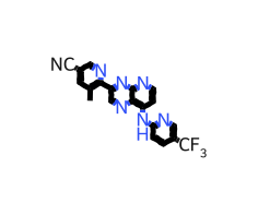 Cc1cc(C#N)cnc1-c1cnc2c(Nc3ccc(C(F)(F)F)cn3)ccnc2n1